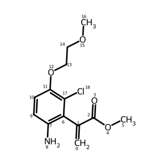 C=C(C(=O)OC)c1c(N)ccc(OCCOC)c1Cl